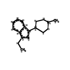 CCn1nc(N2CCN(C)CC2)c2ccccc21